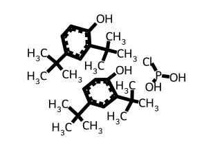 CC(C)(C)c1ccc(O)c(C(C)(C)C)c1.CC(C)(C)c1ccc(O)c(C(C)(C)C)c1.OP(O)Cl